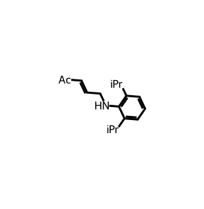 CC(=O)C=CCNc1c(C(C)C)cccc1C(C)C